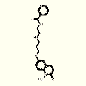 Cn1c(=O)ccc2cc(OCCCNCCNC(=O)c3cccnc3)ccc21